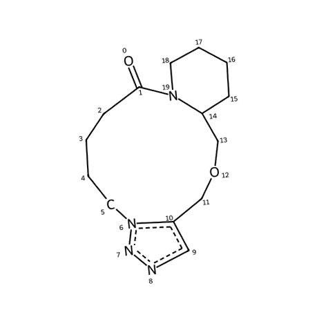 O=C1CCCCn2nncc2COCC2CCCCN12